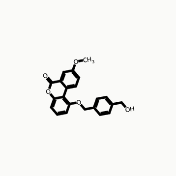 COc1ccc2c(c1)c(=O)oc1cccc(OCc3ccc(CO)cc3)c12